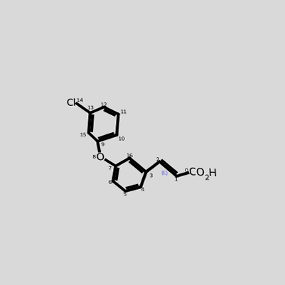 O=C(O)/C=C/c1cccc(Oc2cccc(Cl)c2)c1